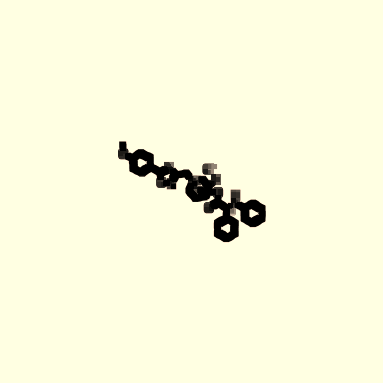 COc1ccc(-c2nc(C[N+]34CCC(CC3)[C@@H](OC(=O)[C@H](Nc3ccccc3)c3ccccc3)C4)no2)cc1.[Cl-]